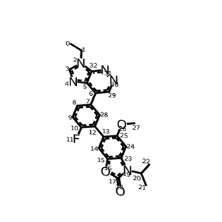 CCn1cnc2c(-c3ccc(F)c(-c4cc5oc(=O)n(C(C)C)c5cc4OC)c3)cnnc21